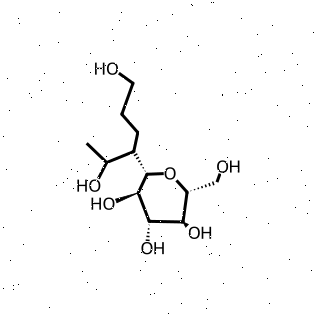 CC(O)C(CCCO)[C@@H]1O[C@H](CO)[C@@H](O)[C@H](O)[C@H]1O